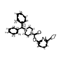 O=C(Oc1cccc(Cl)n1)N1CCN(C(c2ccccc2)c2ccccc2)CC1